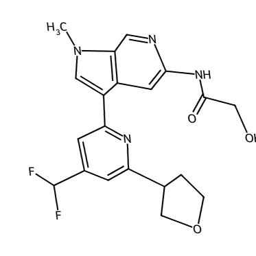 Cn1cc(-c2cc(C(F)F)cc(C3CCOC3)n2)c2cc(NC(=O)CO)ncc21